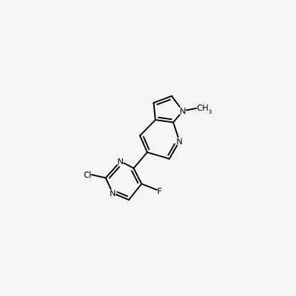 Cn1ccc2cc(-c3nc(Cl)ncc3F)cnc21